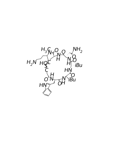 CCC(C)C1NC(=O)[C@@H](Cc2c[nH]c3ccccc23)NC(=O)CCSCC[C@@H](C(=O)N(C)C(CO)CCCN)NC(=O)[C@H](CC(N)=O)NC(=O)[C@H](C(C)CC)NC1=O